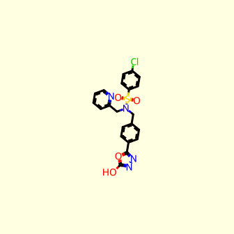 O=S(=O)(c1ccc(Cl)cc1)N(Cc1ccc(-c2nnc(O)o2)cc1)Cc1ccccn1